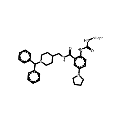 CCCCCCCNC(=O)Nc1ccc(N2CCCC2)cc1C(=O)NCC1CCN(C(c2ccccc2)c2ccccc2)CC1